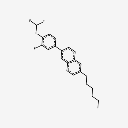 CCCCCCc1ccc2cc(-c3ccc(OC(F)F)c(F)c3)ccc2c1